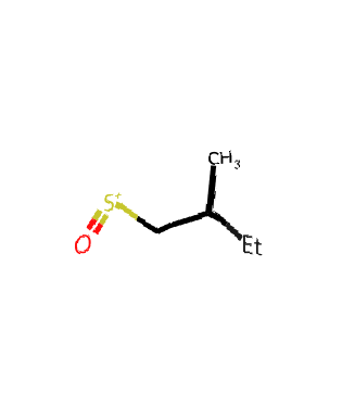 [CH2]CC(C)C[S+]=O